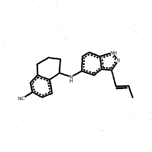 CC=Cc1n[nH]c2ccc(NC3CCCc4cc(C#N)ccc43)cc12